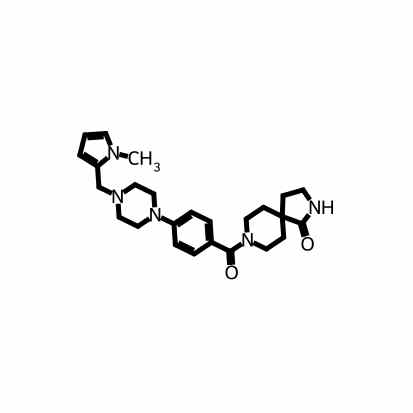 Cn1cccc1CN1CCN(c2ccc(C(=O)N3CCC4(CCNC4=O)CC3)cc2)CC1